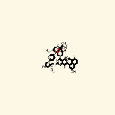 C#Cc1c(F)ccc2cc(O)cc(-c3ncc4c(N5C[C@H]6CC(C#N)[C@@H](C5)N6C(=O)C=C)nc(OC[C@]5(C)C[C@@H](F)CN5c5ccc(N6CCOC[C@@H]6C)cn5)nc4c3F)c12